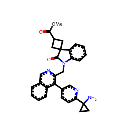 COC(=O)C1CC2(C1)C(=O)N(Cc1ncc3ccccc3c1-c1ccc(C3(N)CC3)nc1)c1ccccc12